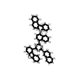 c1ccc2cc(-c3nc(-c4ccc(-n5c6ccccc6c6c7ccccc7ccc65)c5ccccc45)nc(-c4cccc5oc6ccccc6c45)n3)ccc2c1